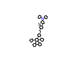 C[Si]1(C)c2cc(/C=C/c3ccc(-c4cc(-c5ccccc5)c5c6ccccc6c6ccccc6c5c4-c4ccccc4)cc3)ccc2-c2ccc(N(c3ccccc3)c3ccccc3)cc21